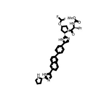 COC(=O)N[C@H](C(=O)N1C[C@@H](OC(F)F)C[C@H]1c1ncc(-c2ccc(-c3ccc4cc(-c5cnc([C@@H]6CCCN6)[nH]5)ccc4c3)cc2)[nH]1)C(C)C